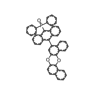 O=P(c1ccccc1)(c1ccccc1)c1c2ccccc2c(-c2cc3c(c4ccccc24)Oc2c(ccc4ccccc24)O3)c2ccccc12